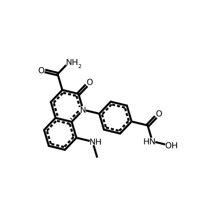 CNc1cccc2cc(C(N)=O)c(=O)n(-c3ccc(C(=O)NO)cc3)c12